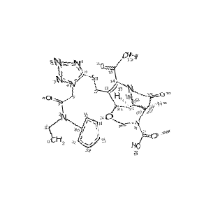 CCN(C(=O)Cn1nnnc1SCC1=C(C(=O)O)N2C(=O)[C@@H]3[C@H]2C1OCN3C(=O)O)c1ccccc1